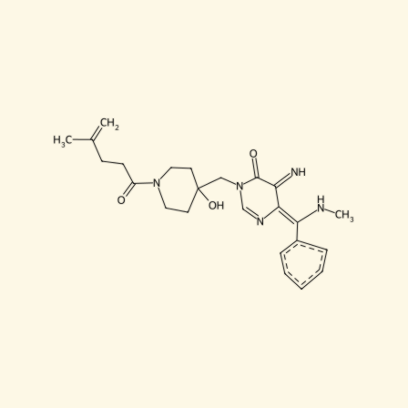 C=C(C)CCC(=O)N1CCC(O)(CN2C=N/C(=C(/NC)c3ccccc3)C(=N)C2=O)CC1